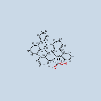 CC(C(=O)O)c1ccccc1C(c1cc2ccccc2c2ccccc12)c1cc2ccccc2c2ccccc12